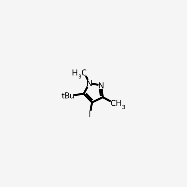 Cc1nn(C)c(C(C)(C)C)c1I